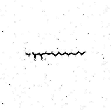 CCCCCCCCCCCCCC(O)CC(=O)OCC